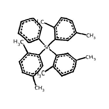 Cc1ccc(C)[c]([Sn]([c]2ccccc2)([c]2cc(C)ccc2C)[c]2cc(C)ccc2C)c1